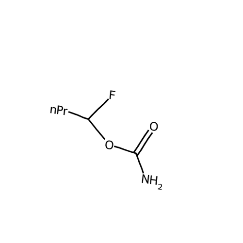 CCCC(F)OC(N)=O